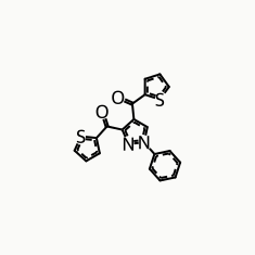 O=C(c1cccs1)c1cn(-c2ccccc2)nc1C(=O)c1cccs1